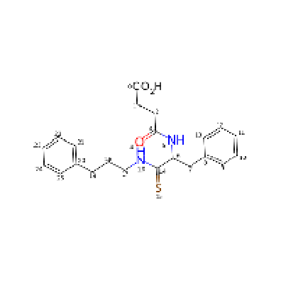 O=C(O)CCC(=O)NC(Cc1ccccc1)C(=S)NCCCc1ccccc1